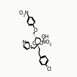 O=[N+]([O-])O.O=[N+]([O-])c1ccc(OC[C@@H]2CO[C@](CCc3ccc(Cl)cc3)(Cn3ccnc3)O2)cc1